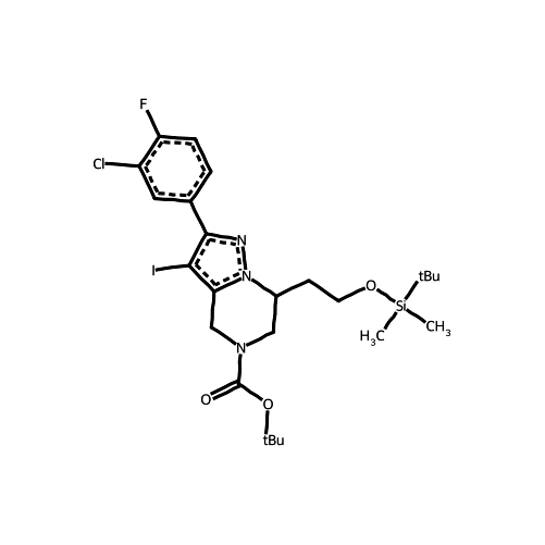 CC(C)(C)OC(=O)N1Cc2c(I)c(-c3ccc(F)c(Cl)c3)nn2C(CCO[Si](C)(C)C(C)(C)C)C1